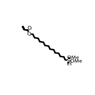 C=CC(=O)OCCCCCCCCCCCCCC[Si](CC)(OC)OC